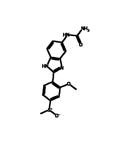 COc1cc([S+](C)[O-])ccc1-c1nc2cc(NC(N)=O)ccc2[nH]1